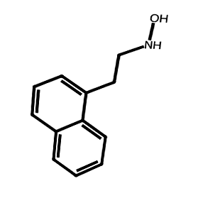 ONCCc1cccc2ccccc12